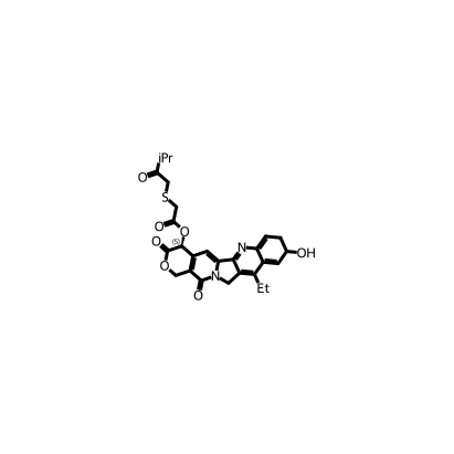 CCc1c2c(nc3c1=CC(O)CC=3)-c1cc3c(c(=O)n1C2)COC(=O)[C@H]3OC(=O)CSCC(=O)C(C)C